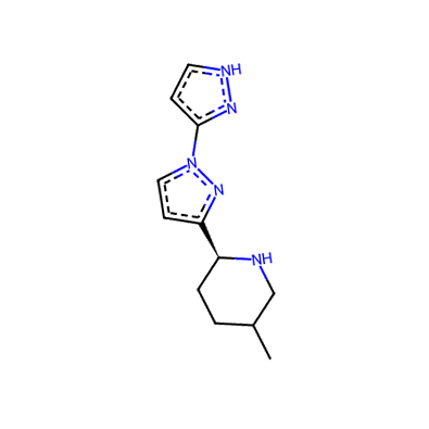 CC1CC[C@@H](c2ccn(-c3cc[nH]n3)n2)NC1